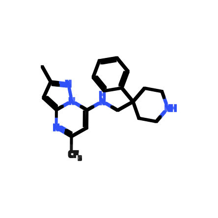 Cc1cc2nc(C(F)(F)F)cc(NCC3(c4ccccc4)CCNCC3)n2n1